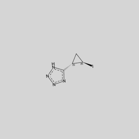 I[C@@H]1C[C@H]1c1nnn[nH]1